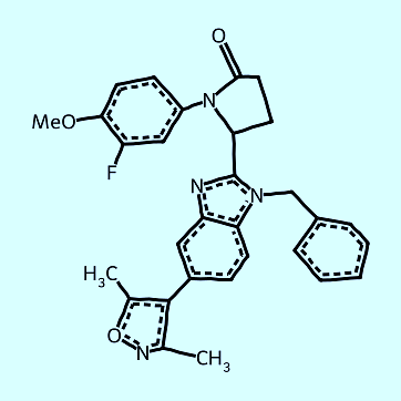 COc1ccc(N2C(=O)CCC2c2nc3cc(-c4c(C)noc4C)ccc3n2Cc2ccccc2)cc1F